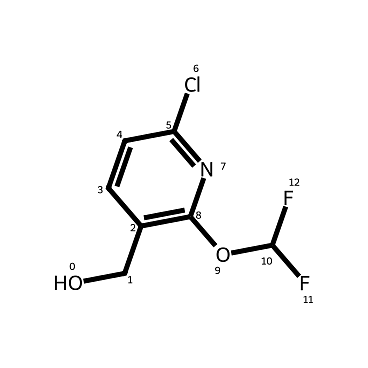 OCc1ccc(Cl)nc1OC(F)F